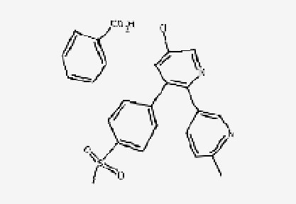 Cc1ccc(-c2ncc(Cl)cc2-c2ccc(S(C)(=O)=O)cc2)cn1.O=C(O)c1ccccc1